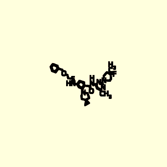 Cc1cc(NC(=O)c2ccc(NSCCOCc3ccccc3)cc2N2CCC3(CC2)CC3)nc(N2CCC(C)(F)CC2)n1